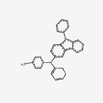 Nc1ccc(N(C2=CC=CCC2)c2ccc3c(c2)c2ccccc2n3-c2ccccc2)cc1